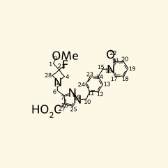 COCC1(F)CN(Cc2nn(Cc3ccc(Cn4ccccc4=O)cc3)cc2C(=O)O)C1